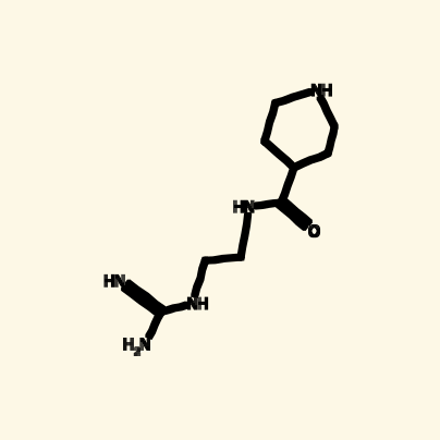 N=C(N)NCCNC(=O)C1CCNCC1